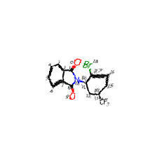 O=C1c2ccccc2C(=O)N1[C@@H]1C[C@H](C(F)(F)F)CC=C1Br